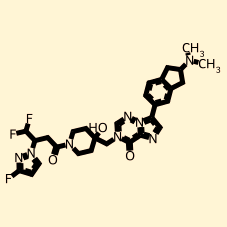 CN(C)C1Cc2ccc(-c3cnc4c(=O)n(CC5(O)CCN(C(=O)CC(C(F)F)n6ccc(F)n6)CC5)cnn34)cc2C1